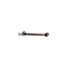 O=C=NCCCCCCCCCCCCCCCCCCCCCCCCCCCCC(=O)O